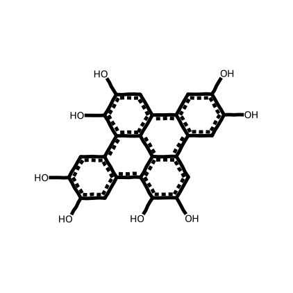 Oc1cc2c(cc1O)c1cc(O)c(O)c3c4cc(O)c(O)cc4c4c(O)c(O)cc2c4c13